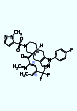 C=N/C(=C\C(=C/C)C(F)(F)F)C(=O)[C@]12Cc3cnn(-c4ccc(F)cc4)c3C[C@@H]1CCN(S(=O)(=O)c1ccnn1C)C2